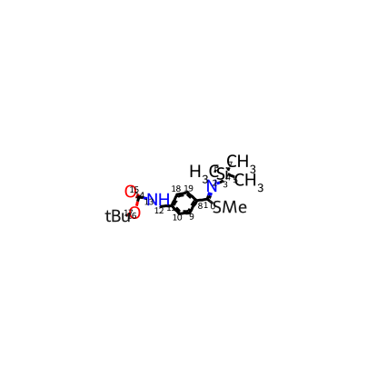 CSC(=NC[Si](C)(C)C)c1ccc(CNC(=O)OC(C)(C)C)cc1